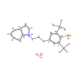 CC(C)(C)c1cc(CCCn2ccc3ccccc32)cc(C(C)(C)C)c1S.O